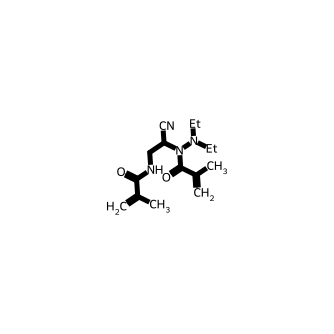 C=C(C)C(=O)NCC(C#N)N(C(=O)C(=C)C)N(CC)CC